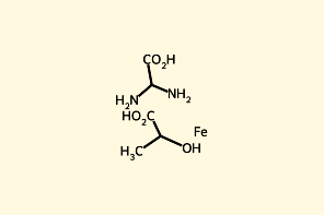 CC(O)C(=O)O.NC(N)C(=O)O.[Fe]